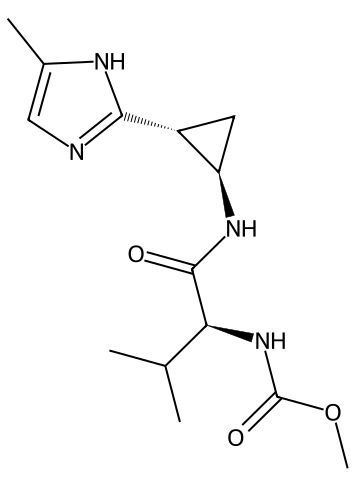 COC(=O)N[C@H](C(=O)N[C@@H]1C[C@H]1c1ncc(C)[nH]1)C(C)C